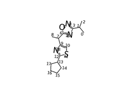 CC(C)c1noc(C(C)c2csc(C3CCCC3)n2)n1